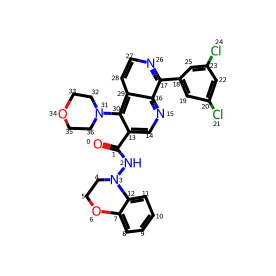 O=C(NN1CCOc2ccccc21)c1cnc2c(-c3cc(Cl)cc(Cl)c3)nccc2c1N1CCOCC1